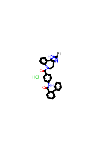 CCc1nc2c([nH]1)-c1ccccc1N(C(=O)c1ccc(NC(=O)c3ccccc3-c3ccccc3)cc1)CC2.Cl